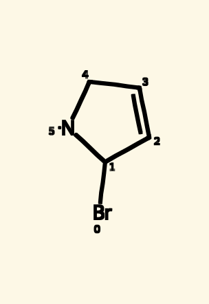 BrC1C=CC[N]1